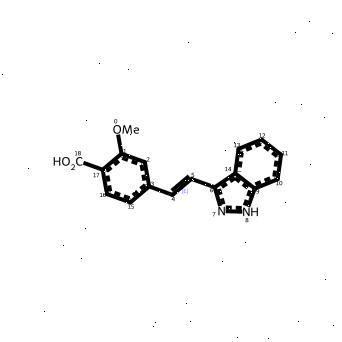 COc1cc(/C=C/c2n[nH]c3ccccc23)ccc1C(=O)O